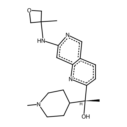 CN1CCC([C@@](C)(O)c2ccc3cnc(NC4(C)COC4)cc3n2)CC1